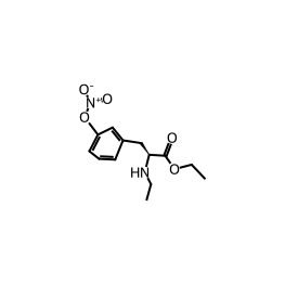 CCN[C@@H](Cc1cccc(O[N+](=O)[O-])c1)C(=O)OCC